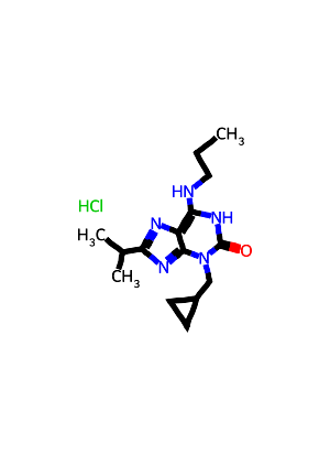 CCCNc1[nH]c(=O)n(CC2CC2)c2nc(C(C)C)nc1-2.Cl